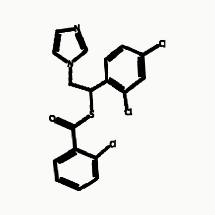 O=C(SC(Cn1ccnc1)c1ccc(Cl)cc1Cl)c1ccccc1Cl